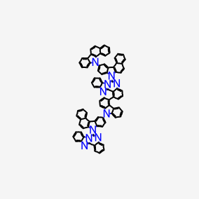 c1ccc2c(c1)ccc1c2c2cc(-n3c4ccccc4c4c(-c5cccc6nc(-n7c8ccc(-n9c%10ccccc%10c%10ccc%11ccccc%11c%109)cc8c8c9ccccc9ccc87)n7c8ccccc8nc7c56)cccc43)ccc2n1-c1nc2ccccc2c2nc3ccccc3n12